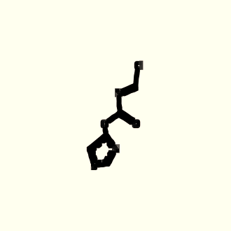 O=C(N=CCl)Oc1cscn1